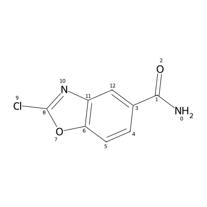 NC(=O)c1ccc2oc(Cl)nc2c1